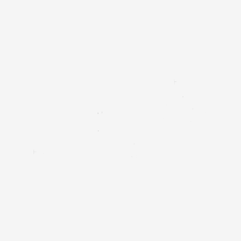 Cc1ccc(C(=O)CCC(=O)c2ccc3c(c2)OC(F)(F)C(F)(F)S3)cc1